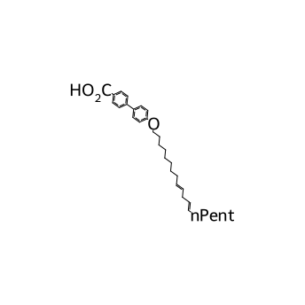 CCCCC/C=C/C/C=C/CCCCCCCCOc1ccc(-c2ccc(C(=O)O)cc2)cc1